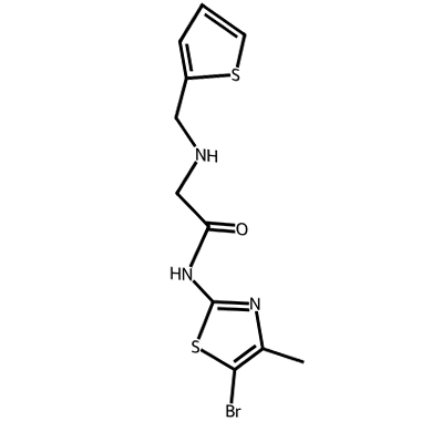 Cc1nc(NC(=O)CNCc2cccs2)sc1Br